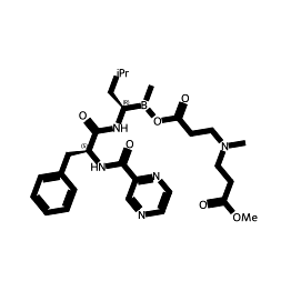 COC(=O)CCN(C)CCC(=O)OB(C)[C@H](CC(C)C)NC(=O)[C@H](Cc1ccccc1)NC(=O)c1cnccn1